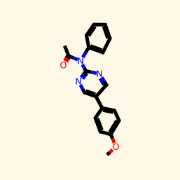 COc1ccc(-c2cnc(N(C(C)=O)c3ccccc3)nc2)cc1